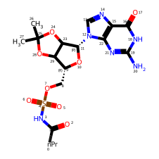 CCCC(=O)NS(=O)(=O)OC[C@H]1O[C@@H](n2cnc3c(=O)[nH]c(N)nc32)C2OC(C)(C)OC21